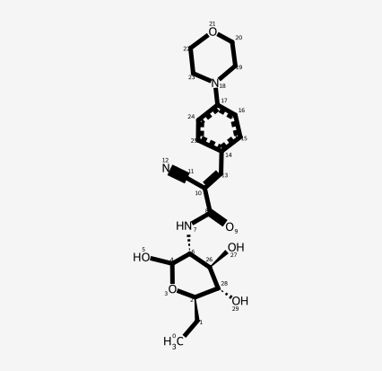 CC[C@H]1OC(O)[C@H](NC(=O)/C(C#N)=C/c2ccc(N3CCOCC3)cc2)[C@@H](O)[C@@H]1O